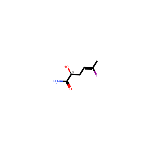 CC(I)=CC[C@H](O)C(N)=O